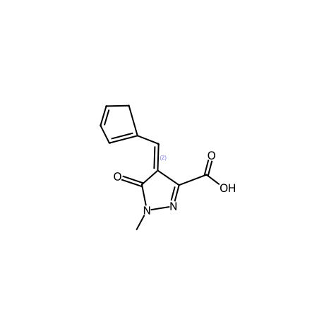 CN1N=C(C(=O)O)/C(=C/C2=CC=CC2)C1=O